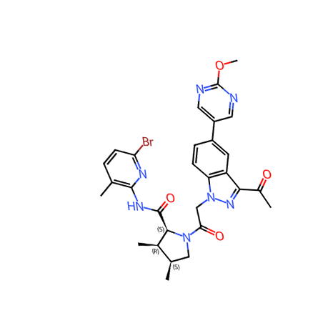 COc1ncc(-c2ccc3c(c2)c(C(C)=O)nn3CC(=O)N2C[C@@H](C)[C@@H](C)[C@H]2C(=O)Nc2nc(Br)ccc2C)cn1